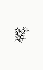 CC(C)C(C)OC1Cc2ccccc2-c2nnn(C(C)(C)C)c2-c2ccccc21